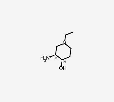 CCN1CC[C@@H](O)[C@@H](N)C1